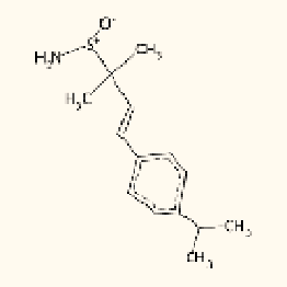 CC(C)c1ccc(C=CC(C)(C)[S+](N)[O-])cc1